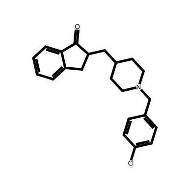 O=C1c2ccccc2CC1CC1CCN(Cc2ccc(Cl)cc2)CC1